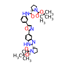 CC(C)(C)OC(=O)N1CCC[C@H]1C(=O)Nc1cccc(-c2cnc(-c3ccc4[nH]c([C@@H]5CCCN5C(=O)OC(C)(C)C)nc4c3)o2)c1